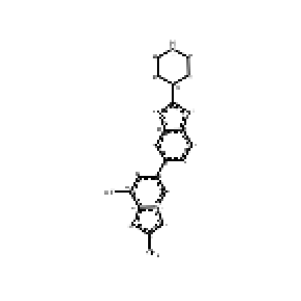 Cc1cn2cc(-c3ccc4nc(C5CCNCC5)sc4c3)cc(F)c2n1